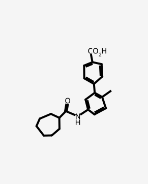 Cc1ccc(NC(=O)C2CCCCCC2)cc1-c1ccc(C(=O)O)cc1